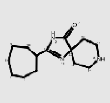 O=C1NC(C2CCCCCC2)=NC12CCNCC2